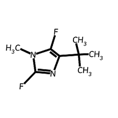 Cn1c(F)nc(C(C)(C)C)c1F